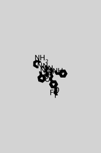 NC1CCCN(c2nc3nc(NCc4ccccc4)n(CC(=O)c4ccc(OC(F)F)cc4)c(=O)c3n2Cc2ccccc2)C1